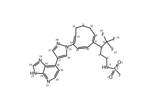 CS(=O)(=O)NCCC(C1=C/CCC/C=C(n2cc(-c3ccnc4[nH]cnc34)cn2)/C=C\1)C(F)(F)F